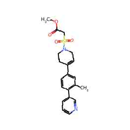 COC(=O)CS(=O)(=O)N1CC=C(c2ccc(-c3cccnc3)c(C)c2)CC1